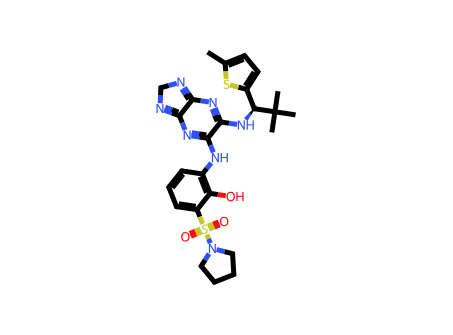 Cc1ccc([C@H](Nc2nc3c(nc2Nc2cccc(S(=O)(=O)N4CCCC4)c2O)=NCN=3)C(C)(C)C)s1